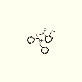 CC(C)c1cccc(N(Cc2ccccc2)Cc2ccccc2)c1P(Cl)Cl